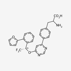 NC(Cc1ccc(-c2cc(O[C@@H](c3ccccc3-c3ccco3)C(F)(F)F)ncn2)cc1)C(=O)O